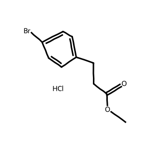 COC(=O)CCc1ccc(Br)cc1.Cl